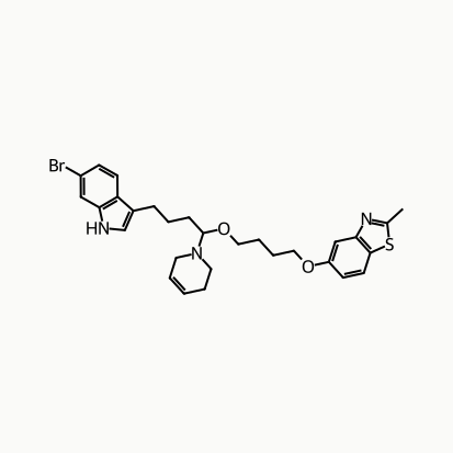 Cc1nc2cc(OCCCCOC(CCCc3c[nH]c4cc(Br)ccc34)N3CC=CCC3)ccc2s1